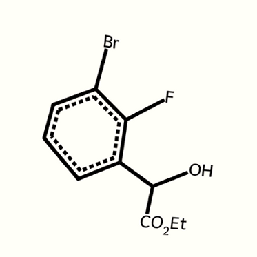 CCOC(=O)C(O)c1cccc(Br)c1F